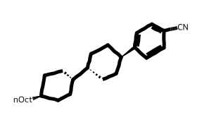 CCCCCCCC[C@H]1CC[C@H]([C@H]2CC[C@H](c3ccc(C#N)cc3)CC2)CC1